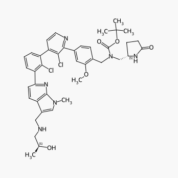 COc1cc(-c2nccc(-c3cccc(-c4ccc5c(CNC[C@H](C)O)cn(C)c5n4)c3Cl)c2Cl)ccc1CN(C[C@@H]1CCC(=O)N1)C(=O)OC(C)(C)C